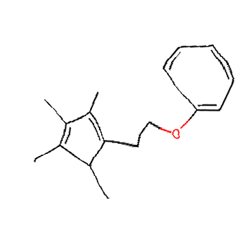 CC1=C(C)C(C)C(CCOc2ccccc2)=C1C